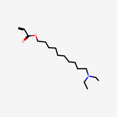 C=CC(=O)OCCCCCCCCCCN(CC)CC